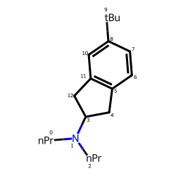 CCCN(CCC)C1Cc2ccc(C(C)(C)C)cc2C1